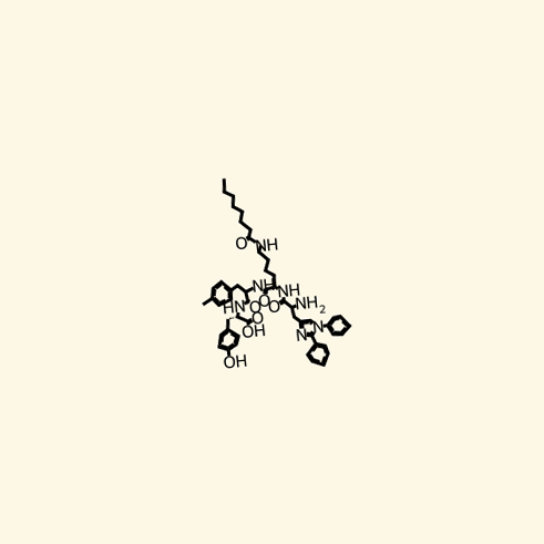 CCCCCCCC(=O)NCCCCC(NC(=O)C(N)Cc1cn(-c2ccccc2)c(-c2ccccc2)n1)C(=O)NC(Cc1ccc(C)cc1)C(=O)N[C@@H](Cc1ccc(O)cc1)C(=O)O